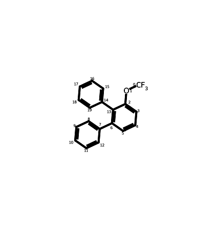 FC(F)(F)Oc1cc[c]c(-c2ccccc2)c1-c1ccccc1